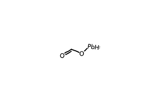 O=C[O][PbH]